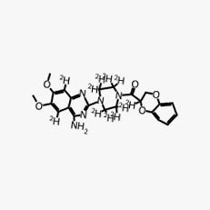 [2H]c1c(OC)c(OC)c([2H])c2c(N)nc(N3C([2H])([2H])C([2H])([2H])N(C(=O)C4([2H])COc5ccccc5O4)C([2H])([2H])C3([2H])[2H])nc12